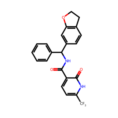 O=C(NC(c1ccccc1)c1ccc2c(c1)OCC2)c1ccc(C(F)(F)F)[nH]c1=O